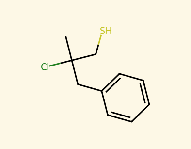 CC(Cl)(CS)Cc1ccccc1